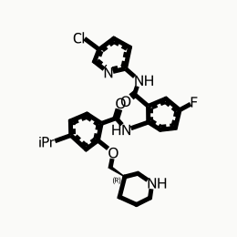 CC(C)c1ccc(C(=O)Nc2ccc(F)cc2C(=O)Nc2ccc(Cl)cn2)c(OC[C@@H]2CCCNC2)c1